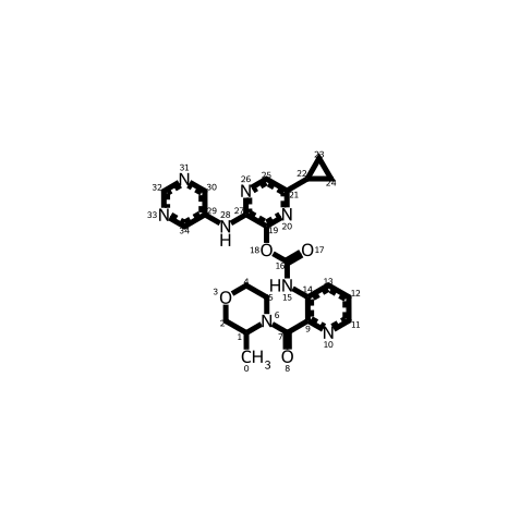 CC1COCCN1C(=O)c1ncccc1NC(=O)Oc1nc(C2CC2)cnc1Nc1cncnc1